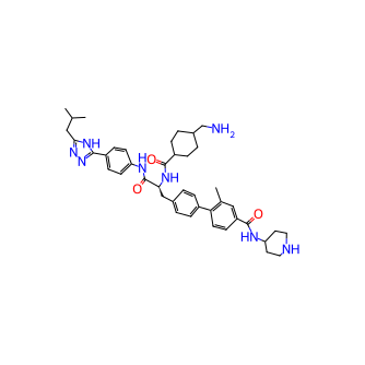 Cc1cc(C(=O)NC2CCNCC2)ccc1-c1ccc(C[C@H](NC(=O)C2CCC(CN)CC2)C(=O)Nc2ccc(-c3nnc(CC(C)C)[nH]3)cc2)cc1